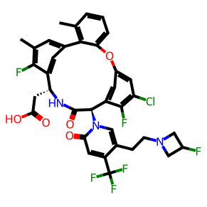 Cc1cc2cc(c1F)[C@@H](CC(=O)O)NC(=O)[C@H](n1cc(CCN3CC(F)C3)c(C(F)(F)F)cc1=O)c1cc(cc(Cl)c1F)Oc1cccc(C)c1-2